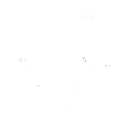 COc1cc2c(CC(=O)O)c(C)n(C(=O)c3ccc(F)s3)c2cc1Cl